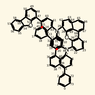 c1ccc(-c2ccc(N(c3ccc(-c4ccccc4)cc3)c3cccc4c3Oc3c(N(c5ccc(-c6ccccc6)cc5)c5ccc(-c6cccc7c6oc6ccccc67)cc5)ccc5cccc-4c35)cc2)cc1